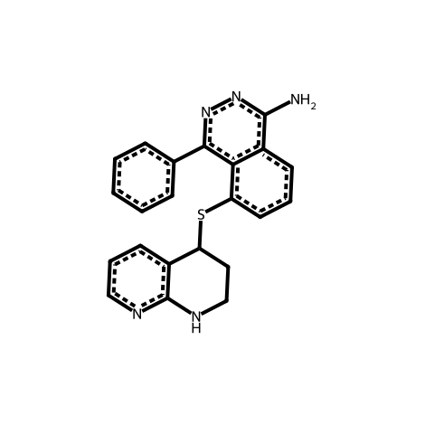 Nc1nnc(-c2ccccc2)c2c(SC3CCNc4ncccc43)cccc12